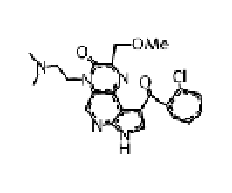 COCc1nc2c3c(C(=O)c4ccccc4Cl)c[nH]c3ncc2n(CCN(C)C)c1=O